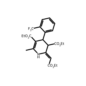 CCOC(=O)C=C1NC(C)=C(C(=O)OCC)C(c2ccccc2C(F)(F)F)C1C(=O)OCC